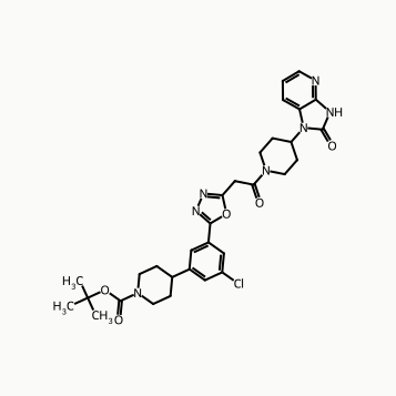 CC(C)(C)OC(=O)N1CCC(c2cc(Cl)cc(-c3nnc(CC(=O)N4CCC(n5c(=O)[nH]c6ncccc65)CC4)o3)c2)CC1